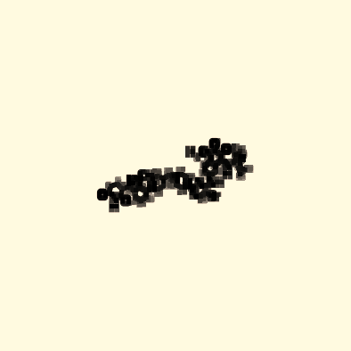 Cn1nc(C2CCC(=O)NC2=O)c2cccc(N3CCC(CN4CCN(c5ncc(Br)c(Nc6ccc7c(c6)c6c(c(=O)n7C)OCC(F)(F)[C@H](C7CC7)N6)n5)CC4)CC3)c21